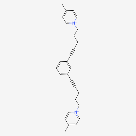 Cc1cc[n+](CCCC#Cc2cccc(C#CCCC[n+]3ccc(C)cc3)c2)cc1